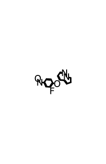 O=Nc1ccc(OC2=CC=NN3CCC=C23)c(F)c1